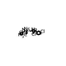 CCn1c(SCc2noc(-c3cccc(Cl)c3)c2Cl)nnc1-c1ccco1